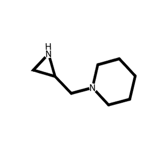 C1CCN(CC2CN2)CC1